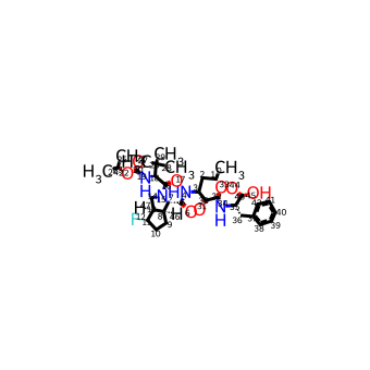 CCCC(NC(=O)[C@@H]1[C@H]2CC[C@H](F)[C@H]2CN1C(=O)[C@@H](NC(=O)OC(C)C)C(C)(C)C)C(=O)C(=O)N[C@@H](Cc1ccccc1)C(=O)O